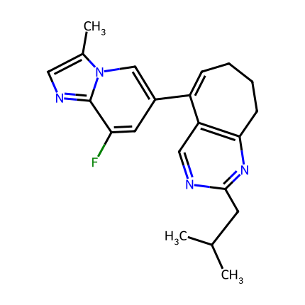 Cc1cnc2c(F)cc(C3=CCCCc4nc(CC(C)C)ncc43)cn12